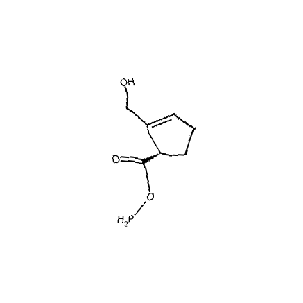 O=C(OP)[C@@H]1CCC=C1CO